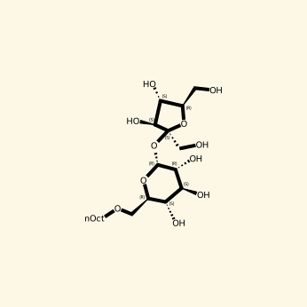 CCCCCCCCOC[C@H]1O[C@H](O[C@]2(CO)O[C@H](CO)[C@@H](O)[C@@H]2O)[C@H](O)[C@@H](O)[C@@H]1O